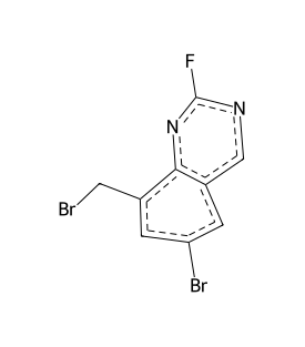 Fc1ncc2cc(Br)cc(CBr)c2n1